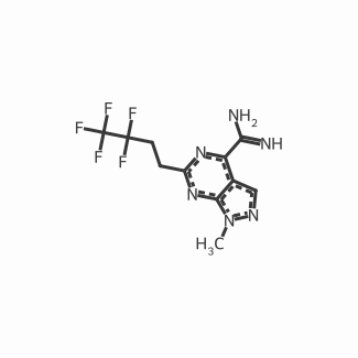 Cn1ncc2c(C(=N)N)nc(CCC(F)(F)C(F)(F)F)nc21